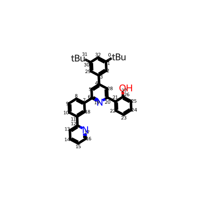 CC(C)(C)c1cc(-c2cc(-c3cccc(-c4ccccn4)c3)nc(-c3ccccc3O)c2)cc(C(C)(C)C)c1